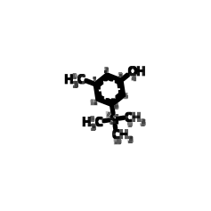 Cc1cc(O)cc([Si](C)(C)C)c1